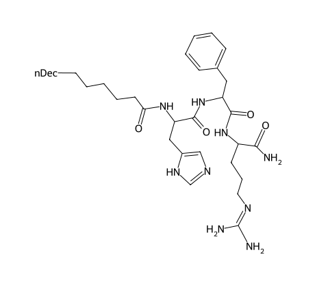 CCCCCCCCCCCCCCCC(=O)NC(Cc1cnc[nH]1)C(=O)NC(Cc1ccccc1)C(=O)NC(CCCN=C(N)N)C(N)=O